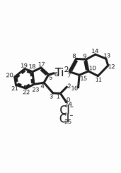 CC(C)CC1[C]([Ti+2][C]2=CC3=C(CCCC3)C2C)=Cc2ccccc21.[Cl-].[Cl-]